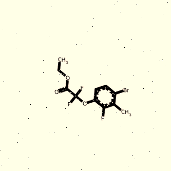 CCOC(=O)C(F)(F)Oc1ccc(Br)c(C)c1F